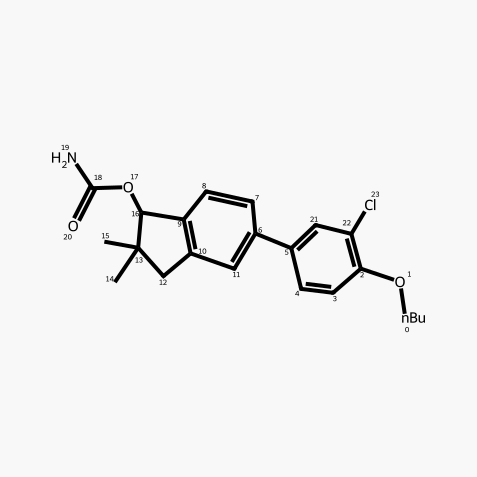 CCCCOc1ccc(-c2ccc3c(c2)CC(C)(C)C3OC(N)=O)cc1Cl